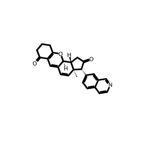 C[C@]12C=CC3=CC4=C(CCCC4=O)O[C@H]3[C@@H]1CC(=O)[C@@H]2c1ccc2ccncc2c1